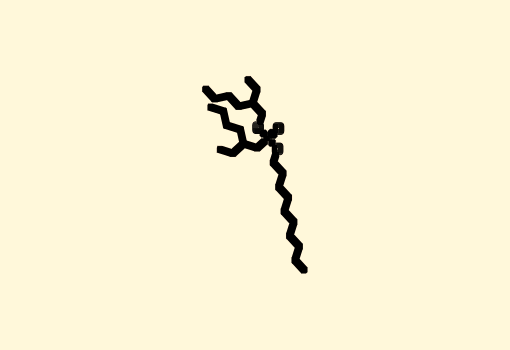 CCCCCCCCCCOP(=O)(CC(CC)CCCC)OCC(CC)CCCC